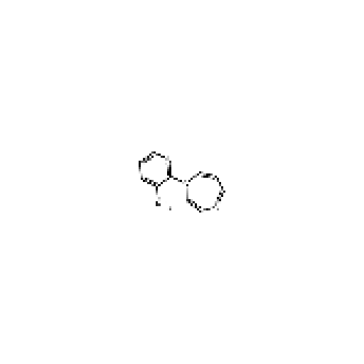 O=[N+]([O-])c1cccnc1N1C=CC=NC=C1